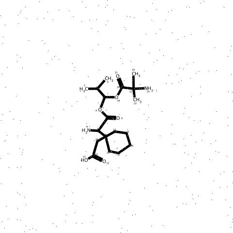 CC(C)C(OC(=O)C(N)C1(CC(=O)O)CCCCC1)OC(=O)C(C)(C)N